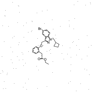 CCOC(=O)Cc1ccccc1OCc1nn(CC2CCC2)c2ccc(Br)cc12